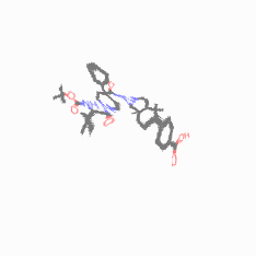 CC(C)(C)OC(=O)NC(C(=O)N1CCC(C(=O)N2CC=C3C(C)(C)C(c4ccc(C(=O)O)cc4)=CC[C@]3(C)C2)(c2ccccc2)CC1)C(C)(C)C